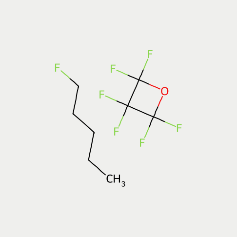 CCCCCF.FC1(F)OC(F)(F)C1(F)F